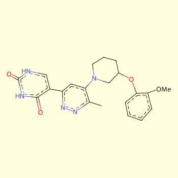 COc1ccccc1OC1CCCN(c2cc(-c3c[nH]c(=O)[nH]c3=O)nnc2C)C1